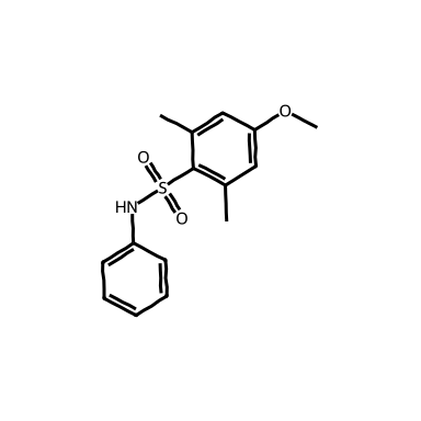 COc1cc(C)c(S(=O)(=O)Nc2ccccc2)c(C)c1